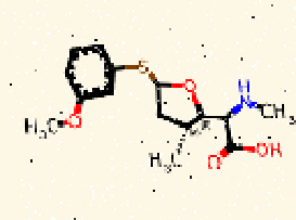 CNC(C(=O)O)[C@@H]1OC(Sc2cccc(OC)c2)C[C@H]1C